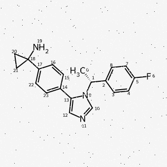 C[C@H](c1ccc(F)cc1)n1cncc1-c1ccc(C2(N)CC2)cc1